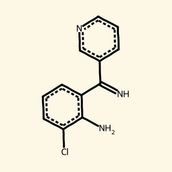 N=C(c1cccnc1)c1cccc(Cl)c1N